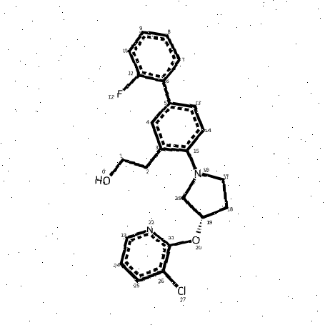 OCCc1cc(-c2cc[c]cc2F)ccc1N1CC[C@H](Oc2ncccc2Cl)C1